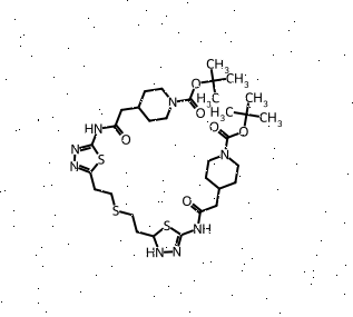 CC(C)(C)OC(=O)N1CCC(CC(=O)NC2=NNC(CCSCCc3nnc(NC(=O)CC4CCN(C(=O)OC(C)(C)C)CC4)s3)S2)CC1